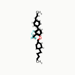 CCCCCC1CCC(COc2ccc(-c3ccc(CCC)cc3)c(F)c2C(F)(F)F)CC1